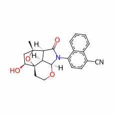 C[C@@]12C[C@H](O)[C@]3(CCO[C@H]4[C@@H]3[C@@H]1C(=O)N4c1ccc(C#N)c3ccccc13)O2